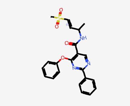 CC(/C=C/S(C)(=O)=O)NC(=O)c1cnc(-c2ccccc2)nc1Oc1ccccc1